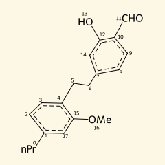 CCCc1ccc(CCc2ccc(C=O)c(O)c2)c(OC)c1